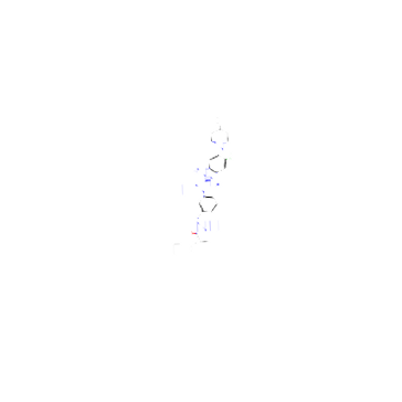 CC(C(=O)NCc1ccc(C(F)(F)F)c(Nc2nc3cc(Cl)c(N4CCC(C(F)(F)F)CC4)cc3n2C)c1)C(F)(F)F